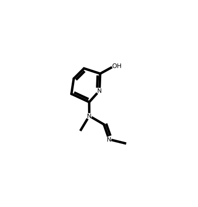 CN=CN(C)c1cccc(O)n1